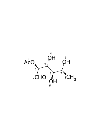 CC(=O)O[C@H](C=O)[C@H](O)[C@H](O)[C@H](C)O